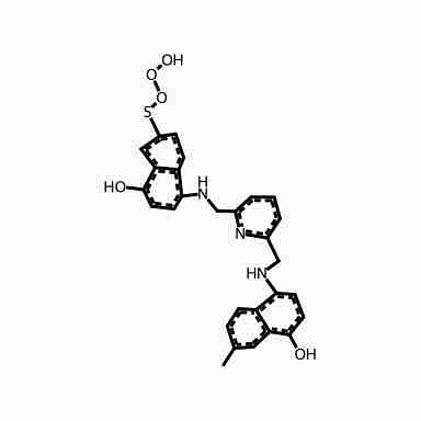 Cc1ccc2c(NCc3cccc(CNc4ccc(O)c5cc(SOOO)ccc45)n3)ccc(O)c2c1